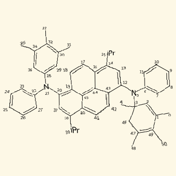 CC1=CC(C)(N(c2ccccc2)c2cc(C(C)C)c3ccc4c(N(c5ccccc5)c5cc(C)c(C)c(C)c5)cc(C(C)C)c5ccc2c3c54)CC(C)=C1C